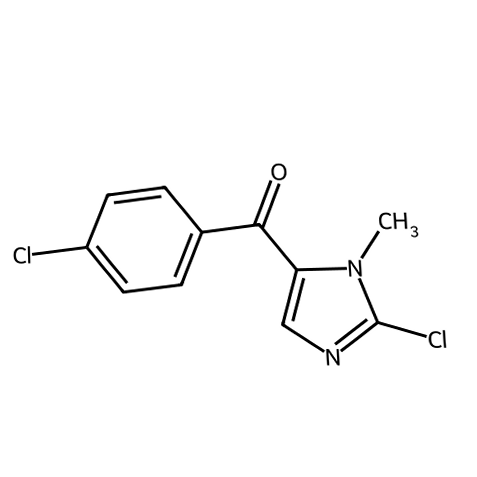 Cn1c(C(=O)c2ccc(Cl)cc2)cnc1Cl